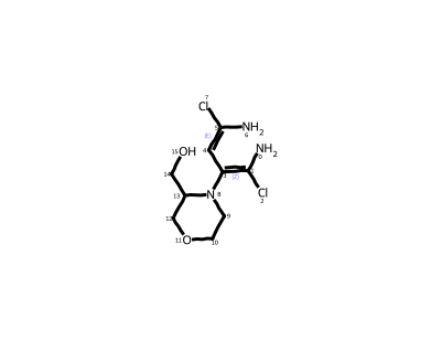 N/C(Cl)=C(\C=C(/N)Cl)N1CCOCC1CO